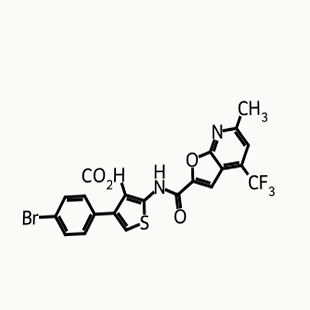 Cc1cc(C(F)(F)F)c2cc(C(=O)Nc3scc(-c4ccc(Br)cc4)c3C(=O)O)oc2n1